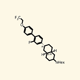 CCCCCCC1CC[C@@H]2C[C@H](c3ccc(-c4ccc(OCC(F)(F)F)cc4)c(F)c3)CC[C@@H]2C1